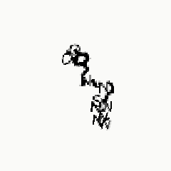 CN(CCc1ccc2c(c1)OCO2)CCN1CCCC1c1nc(-n2cncn2)ns1